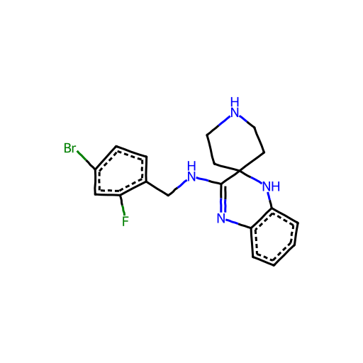 Fc1cc(Br)ccc1CNC1=Nc2ccccc2NC12CCNCC2